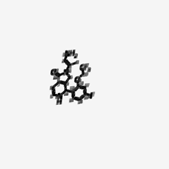 C/C(=C\N)N1CC2=C(C=CNC2c2ccc(F)cc2OCC(F)(F)F)C1=O